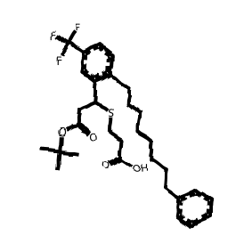 CC(C)(C)OC(=O)CC(SCCC(=O)O)c1cc(C(F)(F)F)ccc1CCCCCCCCc1ccccc1